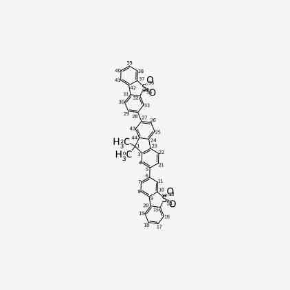 CC1(C)c2cc(-c3ccc4c(c3)S(=O)(=O)c3ccccc3-4)ccc2-c2ccc(-c3ccc4c(c3)S(=O)(=O)c3ccccc3-4)cc21